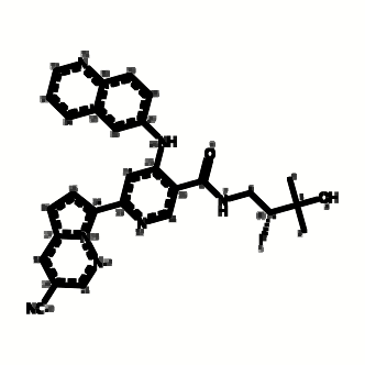 CC(C)(O)[C@H](F)CNC(=O)c1cnc(-c2ccc3cc(C#N)cnn23)cc1Nc1ccc2ncccc2c1